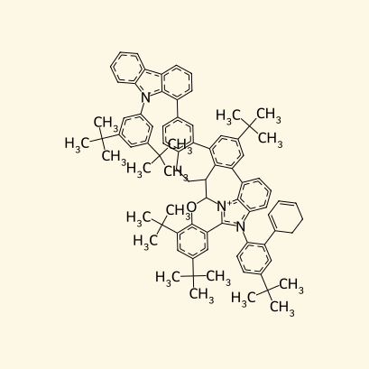 CC(C)(C)c1cc(-n2c3ccccc3c3cccc(-c4ccc5c(c4)-c4cc(C(C)(C)C)cc6c4C(CC5)C4Oc5c(cc(C(C)(C)C)cc5C(C)(C)C)-c5n(-c7ccc(C(C)(C)C)cc7C7=CC=CCC7)c7cccc-6c7[n+]54)c32)cc(C(C)(C)C)c1